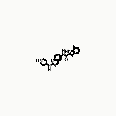 Cc1cccc2cc(C(=O)Nc3ccc4nc(NC5CCNCC5)ncc4c3)[nH]c12